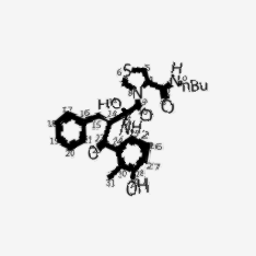 CCCCNC(=O)C1CSCN1C(=O)[C@@](N)(O)[C@H](Cc1ccccc1)C(=O)c1cccc(O)c1C